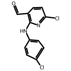 O=Cc1ccc(Cl)nc1Nc1ccc(Cl)cc1